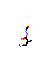 CC(=C[SiH3])C(=O)ON=C=O